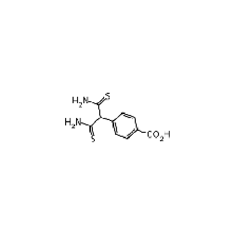 NC(=S)C(C(N)=S)c1ccc(C(=O)O)cc1